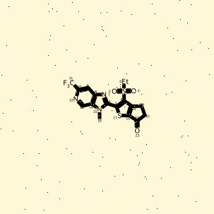 CCS(=O)(=O)c1c(-c2nc3cc(C(F)(F)F)ncc3n2C)sc2c1CCC2=O